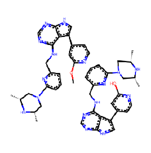 COc1cc(-c2c[nH]c3ncnc(NCc4cccc(N5C[C@@H](C)N[C@@H](C)C5)n4)c23)ccn1.C[C@@H]1CN(c2cccc(CNc3ncnc4[nH]cc(-c5ccnc(O)c5)c34)n2)C[C@H](C)N1